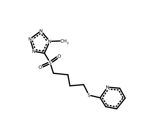 Cn1nnnc1S(=O)(=O)CCCCSc1ccccn1